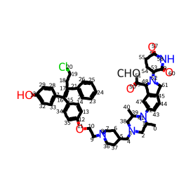 CC1CN(CC2CCN(CCOc3ccc(C(=C(CCCl)c4ccccc4)c4ccc(O)cc4)cc3)CC2)CC(C)N1c1ccc2c(c1)C(C(=O)C=O)N(C1CCC(=O)NC1=O)C2